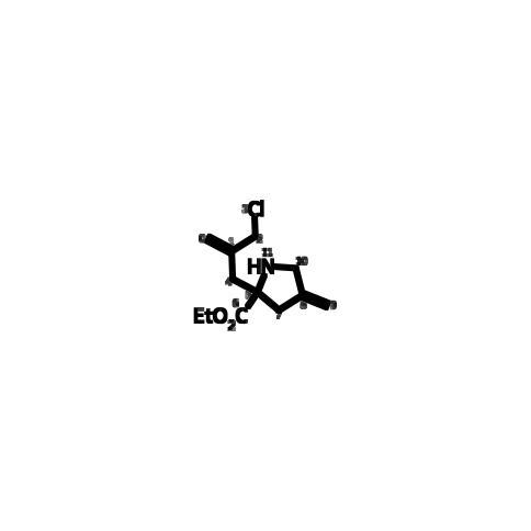 C=C(CCl)CC1(C(=O)OCC)CC(=C)CN1